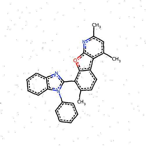 Cc1cc(C)c2c(n1)oc1c(-c3nc4ccccc4n3-c3ccccc3)c(C)ccc12